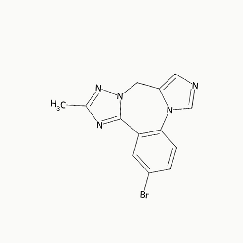 Cc1nc2n(n1)Cc1cncn1-c1ccc(Br)cc1-2